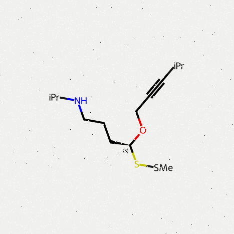 CSS[C@@H](CCCNC(C)C)OCC#CC(C)C